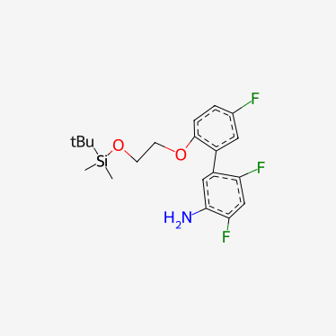 CC(C)(C)[Si](C)(C)OCCOc1ccc(F)cc1-c1cc(N)c(F)cc1F